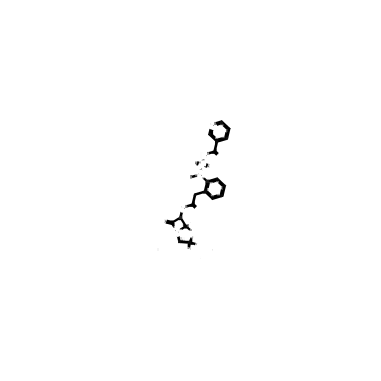 CC1(C)S[C@@H]2C(NC(=O)Cc3ccccc3N(Cl)S(=O)(=O)NC(=O)c3cccnc3)C(=O)N2[C@H]1C(=O)O